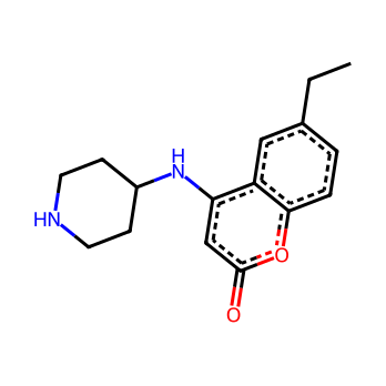 CCc1ccc2oc(=O)cc(NC3CCNCC3)c2c1